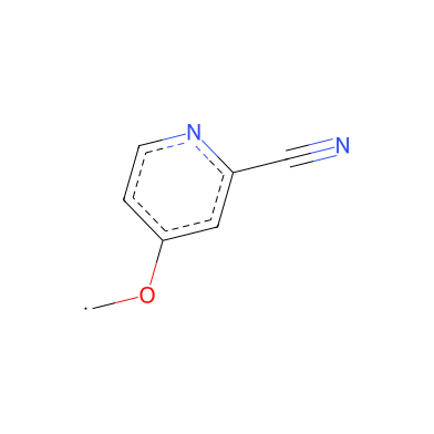 [CH2]Oc1ccnc(C#N)c1